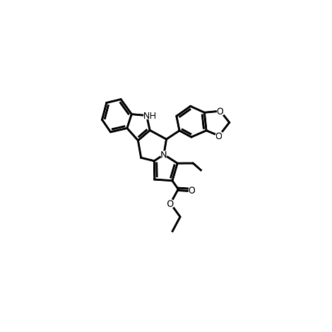 CCOC(=O)c1cc2n(c1CC)C(c1ccc3c(c1)OCO3)c1[nH]c3ccccc3c1C2